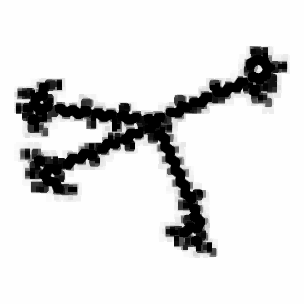 CC(=O)NC1C(OCCCCC(=O)NCCCNC(=O)CCOCC(COCCC(=O)NCCCNC(=O)CCCCOC2OC(CO)C(O)C(O)C2NC(C)=O)(COCCC(=O)NCCCNC(=O)CCCCOC2OC(CO)C(O)C(O)C2NC(C)=O)NC(=O)CCCCCCCCCCC(=O)NCC2CC(OC(C)C)C(CO)O2)OCC(O)CC(O)C1O